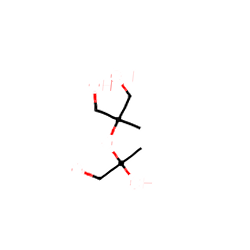 CC(O)(CO)OC(C)(CO)CO